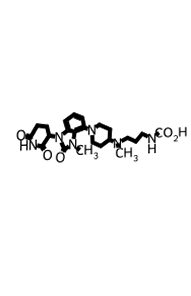 CN(CCCNC(=O)O)C1CCN(c2cccc3c2n(C)c(=O)n3C2CCC(=O)NC2=O)CC1